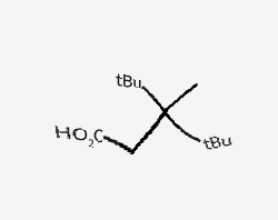 CC(C)(C)C(C)(CC(=O)O)C(C)(C)C